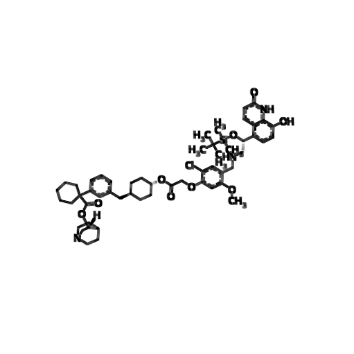 COc1cc(OCC(=O)O[C@H]2CC[C@H](Cc3cccc(C4(C(=O)O[C@H]5CN6CCC5CC6)CCCCC4)c3)CC2)c(Cl)cc1CNC[C@H](O[Si](C)(C)C(C)(C)C)c1ccc(O)c2[nH]c(=O)ccc12